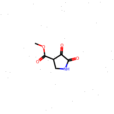 COC(=O)C1CNC(=O)C1=O